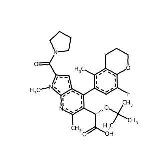 Cc1nc2c(cc(C(=O)N3CCCC3)n2C)c(-c2cc(F)c3c(c2C)CCCO3)c1[C@H](OC(C)(C)C)C(=O)O